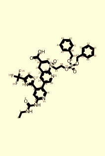 CCNC(=O)Nc1cc(-c2nc(C(F)(F)F)cs2)c(-c2cnc3c(c2)CC(C(=O)O)=C[N+]3([O-])CCOP(=O)(OCc2ccccc2)OCc2ccccc2)cn1